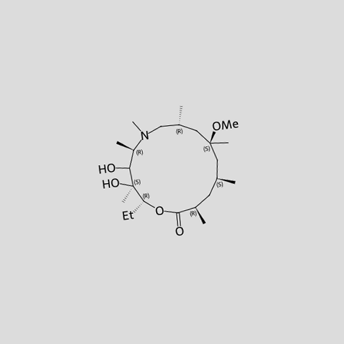 CC[C@H]1OC(=O)[C@H](C)C[C@H](C)C[C@](C)(OC)C[C@@H](C)CN(C)[C@H](C)C(O)[C@]1(C)O